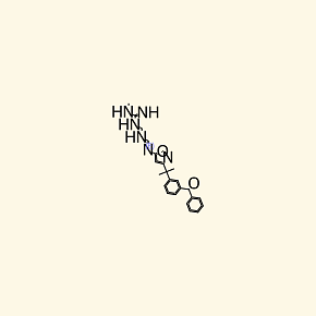 CNC(=N)NCN/C=N/c1cc(C(C)(C)c2cccc(C(=O)c3ccccc3)c2)no1